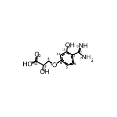 N=C(N)c1ccc(OCC(O)C(=O)O)cc1O